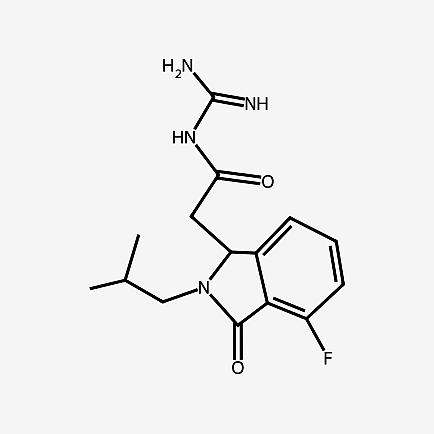 CC(C)CN1C(=O)c2c(F)cccc2C1CC(=O)NC(=N)N